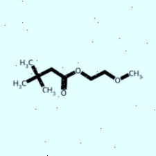 COCCOC(=O)CC(C)(C)C